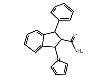 NC(=O)C1C(c2ccccc2)c2ccccc2C1n1cccc1